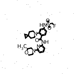 C[C@@H]1CN(c2cccc(NC(=O)c3ccc(NS(=O)(=O)CF)cc3N3CCC4(CC3)CC4)n2)CCO1